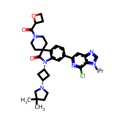 CC(C)n1cnc2cc(-c3ccc4c(c3)N([C@H]3C[C@@H](N5CCC(C)(C)C5)C3)C(=O)C43CCN(C(=O)C4CCO4)CC3)nc(Cl)c21